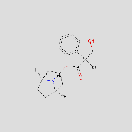 CCC(CO)(C(=O)OC1C[C@H]2CC[C@@H](C1)N2C)c1ccccc1